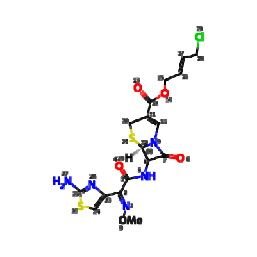 CON=C(C(=O)NC1C(=O)N2C=C(C(=O)OCC=CCCl)CS[C@H]12)c1csc(N)n1